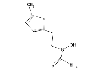 Cc1ccc(CCN(O)C(N)=S)s1